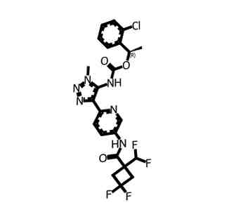 C[C@@H](OC(=O)Nc1c(-c2ccc(NC(=O)C3(C(F)F)CC(F)(F)C3)cn2)nnn1C)c1ccccc1Cl